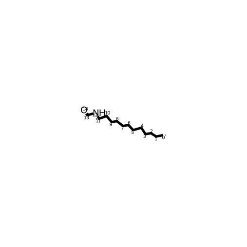 [CH2]CCCCCCCCCC[CH]NC=O